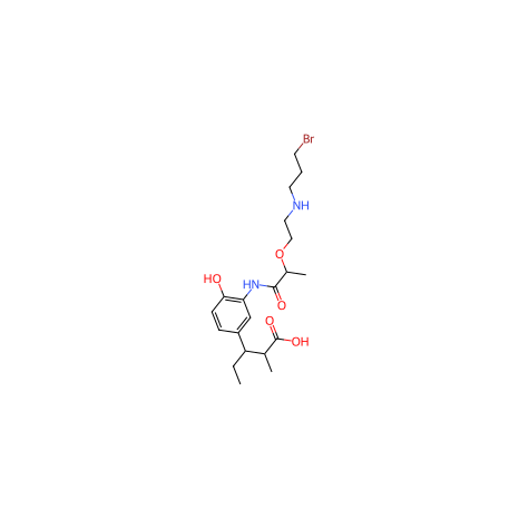 CCC(c1ccc(O)c(NC(=O)C(C)OCCNCCCBr)c1)C(C)C(=O)O